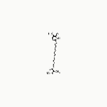 CNC(C)C(=O)OCCCCCCCCCCCSc1ncc(C)c(=O)[nH]1